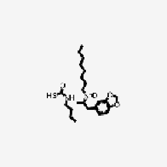 CCCCCCCC[S+]([O-])C(C)Cc1ccc2c(c1)OCO2.CCCCNC(=O)S